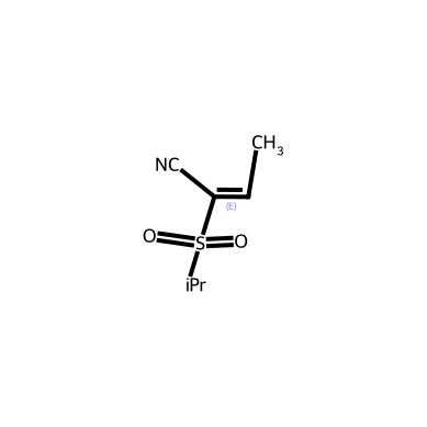 C/C=C(\C#N)S(=O)(=O)C(C)C